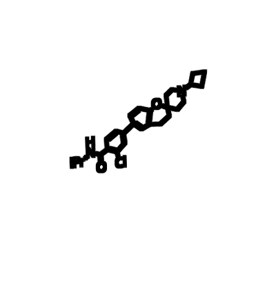 CC(C)NC(=O)c1ccc(-c2ccc3c(c2)CCC2(CCN(C4CCC4)CC2)O3)cc1Cl